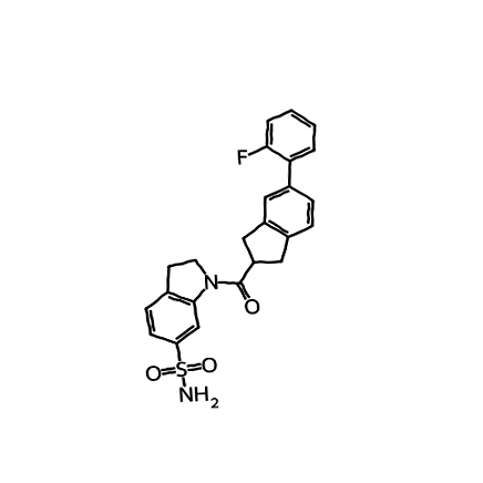 NS(=O)(=O)c1ccc2c(c1)N(C(=O)C1Cc3ccc(-c4ccccc4F)cc3C1)CC2